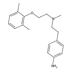 Cc1cccc(C)c1OCCN(C)CCc1ccc(N)cc1